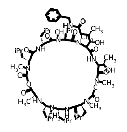 CC(C)C[C@@H]1C(=O)N[C@H](CC(C)C)C(=O)N(C)C(C(C)C)C(=O)N(C)C([C@H](O)[C@H](C)CC(=O)NCc2ccccc2)C(=O)NC([C@@H](C)O)C(=O)N(C)CC(=O)N(C)[C@@H](CC(C)C)C(=O)N[C@H](CC(C)C)N(C)[C@H](CC(C)C)N[C@H](C)C(=O)OC(=O)N1C